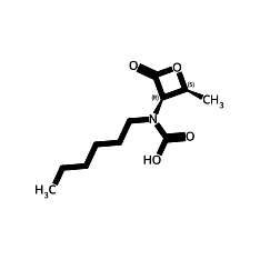 CCCCCCN(C(=O)O)[C@H]1C(=O)O[C@H]1C